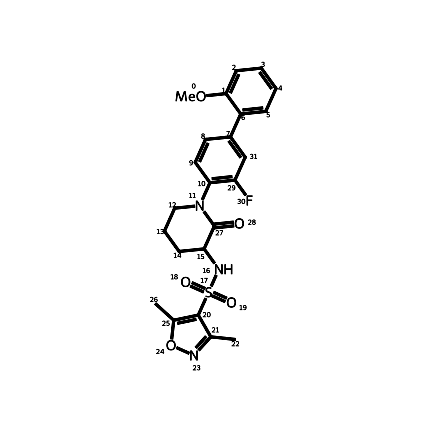 COc1ccccc1-c1ccc(N2CCCC(NS(=O)(=O)c3c(C)noc3C)C2=O)c(F)c1